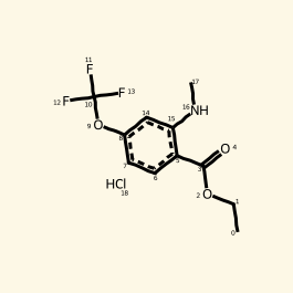 CCOC(=O)c1ccc(OC(F)(F)F)cc1NC.Cl